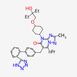 CCCc1c(Cc2ccc(-c3ccccc3-c3nnn[nH]3)cc2)c(=O)n(C2CCC(OCC(O)(CC)CC)CC2)c2nc(C)nn12